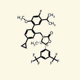 COc1cc(F)c(C(C)C)cc1-c1ccc(C2CC2)cc1CN1C(=O)O[C@H](c2cc(C(F)(F)F)cc(C(F)(F)F)c2)[C@@H]1C